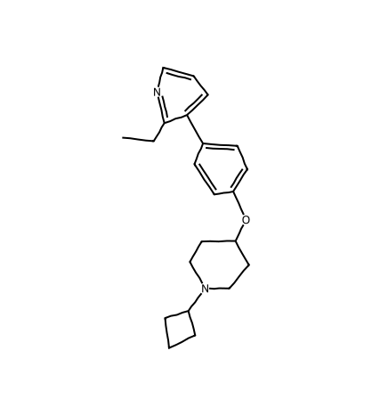 CCc1ncccc1-c1ccc(OC2CCN(C3CCC3)CC2)cc1